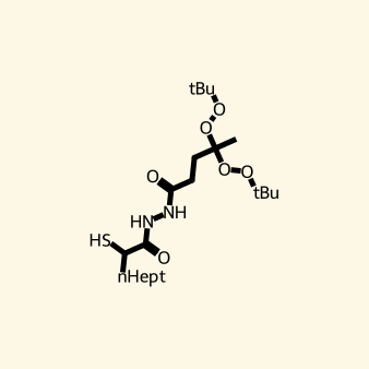 CCCCCCCC(S)C(=O)NNC(=O)CCC(C)(OOC(C)(C)C)OOC(C)(C)C